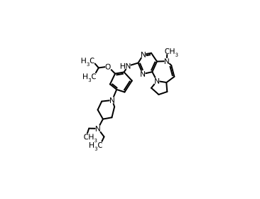 CCN(CC)C1CCN(c2ccc(Nc3ncc4c(n3)N3CCCC3C=CN4C)c(OC(C)C)c2)CC1